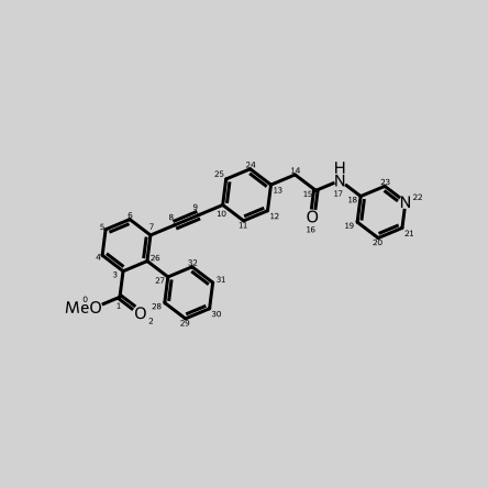 COC(=O)c1cccc(C#Cc2ccc(CC(=O)Nc3cccnc3)cc2)c1-c1ccccc1